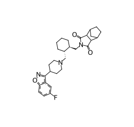 O=C1C2C3CCC(C3)C2C(=O)N1C[C@@H]1CCCC[C@H]1CN1CCC(c2noc3ccc(F)cc23)CC1